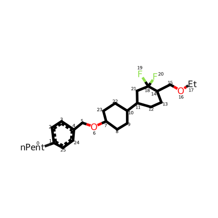 CCCCCc1ccc(COC2CCC(C3CCC(COCC)C(F)(F)C3)CC2)cc1